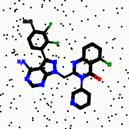 COc1ccc(-c2nn(Cc3nc4cccc(Cl)c4c(=O)n3-c3cccnc3)c3ncnc(N)c23)c(F)c1F